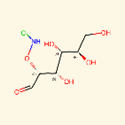 O=C[C@H](ONCl)[C@@H](O)[C@H](O)[C@H](O)CO